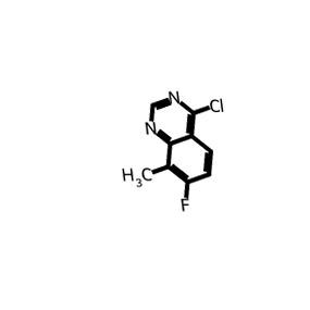 Cc1c(F)ccc2c(Cl)ncnc12